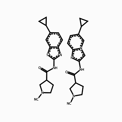 N#CN1CCC(C(=O)Nc2cn3cc(C4CC4)ccc3n2)C1.N#CN1CCC(C(=O)Nc2nc3ccc(C4CC4)cc3s2)C1